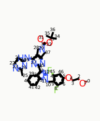 COCCOc1cc(F)c(Cn2nc(-c3nc4c(c(Nc5ccnc(C)n5)n3)CN(C(=O)OC(C)(C)C)C4)c3ccccc32)c(F)c1